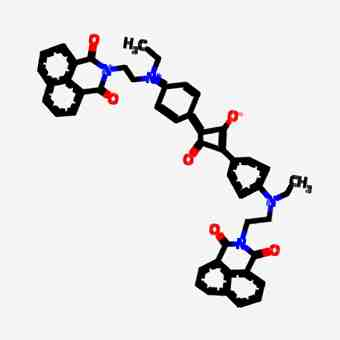 CCN(CCN1C(=O)c2cccc3cccc(c23)C1=O)c1ccc(C2=C([O-])C(=C3C=CC(=[N+](CC)CCN4C(=O)c5cccc6cccc(c56)C4=O)C=C3)C2=O)cc1